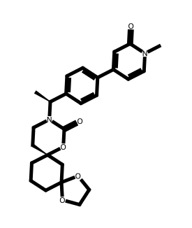 C[C@@H](c1ccc(-c2ccn(C)c(=O)c2)cc1)N1CC[C@@]2(CCCC3(C2)OCCO3)OC1=O